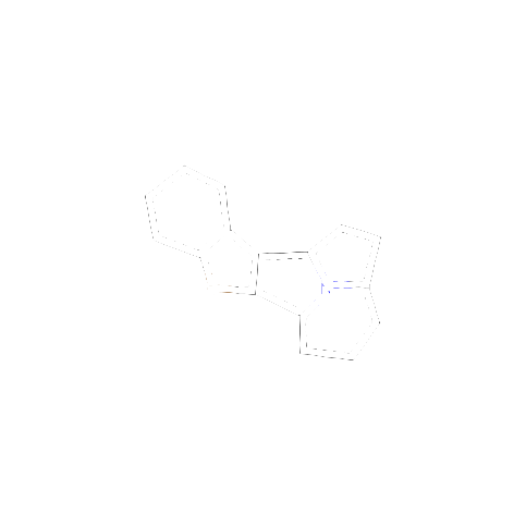 c1ccc2c(c1)sc1c2c2ccc3cccc1n32